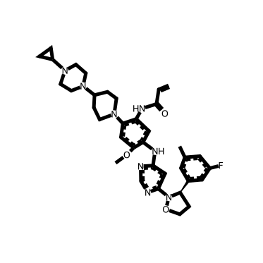 C=CC(=O)Nc1cc(Nc2cc(N3OCC[C@@H]3c3cc(C)cc(F)c3)ncn2)c(OC)cc1N1CCC(N2CCN(C3CC3)CC2)CC1